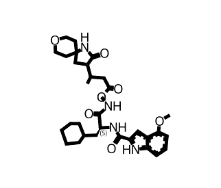 COc1cccc2[nH]c(C(=O)N[C@@H](CC3CCCCC3)C(=O)NOC(=O)CC(C)C3CC4(CCOCC4)NC3=O)cc12